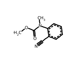 [CH2]OC(=O)N(C)c1ccccc1C#N